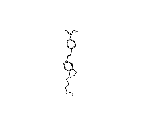 CCCCN1CCc2cc(C=Cc3ccc(C(=O)O)cc3)ccc21